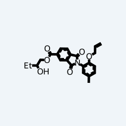 C=CCOc1ccc(C)cc1N1C(=O)c2ccc(C(=O)OCC(O)CC)cc2C1=O